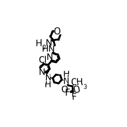 CC1(C(=O)N[C@H]2CC[C@H](Nc3cc(-c4cccc(NCC5(N)CCOCC5)n4)c(Cl)cn3)CC2)OC1(F)F